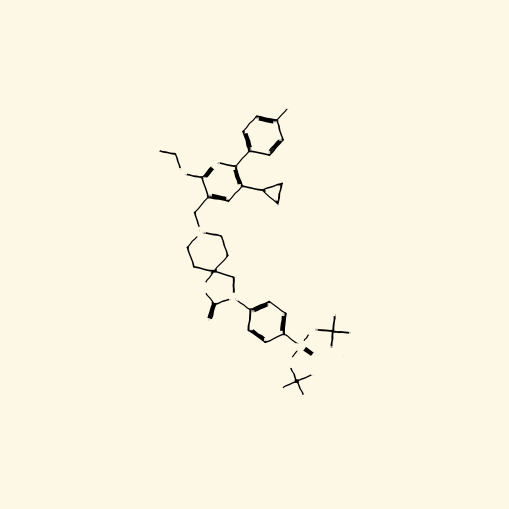 CCOc1nc(-c2ccc(F)cc2)c(C2CC2)cc1CN1CCC2(CC1)CN(c1ccc(P(=O)(OC(C)(C)C)OC(C)(C)C)cc1)C(=O)O2